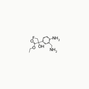 CCOC(=O)C(O)(CF)c1ccc(N)c(CN)c1